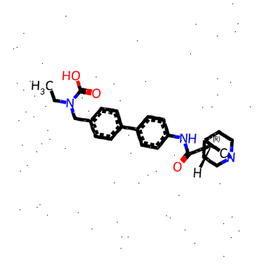 CCN(Cc1ccc(-c2ccc(NC(=O)[C@H]3CN4CCC3CC4)cc2)cc1)C(=O)O